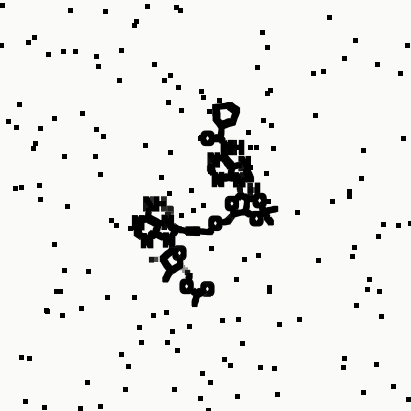 CC(=O)OC[C@H]1O[C@@H](n2c(C#CCOC[C@H]3O[C@@H](n4cnc5c(NC(=O)c6ccccc6)ncnc54)[C@H]4OC(C)(C)OC34)nc3c(N)ncnc32)[C@@H](C)C1C